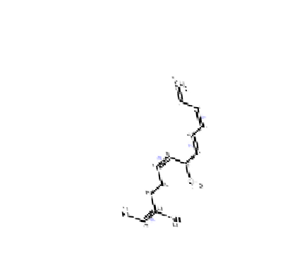 C=C/C=C\C=C\C(C)/C=C\CC/C(S)=C\CC